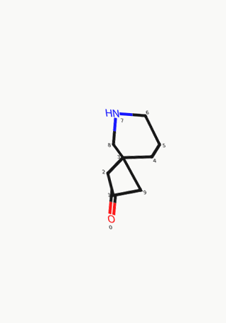 O=C1CC2(CCCNC2)C1